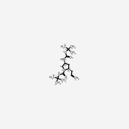 C=CC[C@@H]1C[C@H](NC(=O)OC(C)(C)C)CN1C(=O)OC(C)(C)C